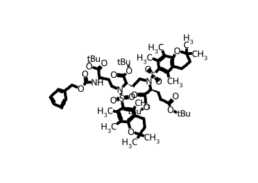 Cc1c(C)c(S(=O)(=O)N(CCC(NC(=O)OCc2ccccc2)C(=O)OC(C)(C)C)[C@@H](CCN([C@@H](CCC(=O)OC(C)(C)C)C(=O)OC(C)(C)C)S(=O)(=O)c2c(C)c(C)c3c(c2C)CCC(C)(C)O3)C(=O)OC(C)(C)C)c(C)c2c1OC(C)(C)CC2